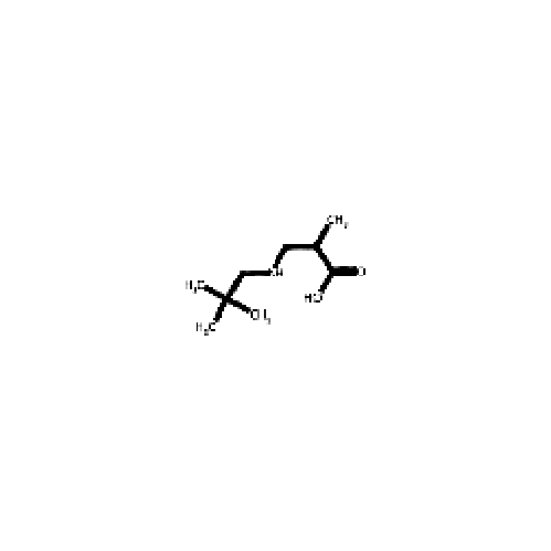 CC(CNCC(C)(C)C)C(=O)O